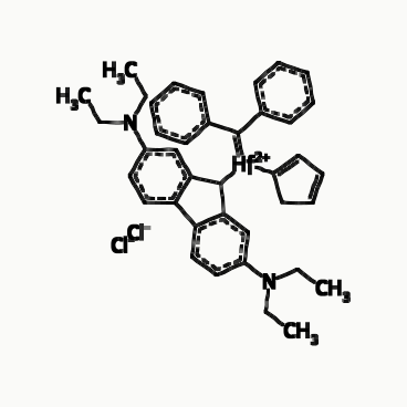 CCN(CC)c1ccc2c(c1)[CH]([Hf+2]([C]1=CC=CC1)=[C](c1ccccc1)c1ccccc1)c1cc(N(CC)CC)ccc1-2.[Cl-].[Cl-]